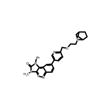 CC(C)n1c(=O)n(C)c2nnc3ccc(-c4ccc(COCCN5CC6CCC5C6)nc4)cc3c21